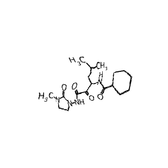 CC(C)CC(NC(=O)C1CCCCC1)C(=O)C(=O)NN1CCN(C)C1=O